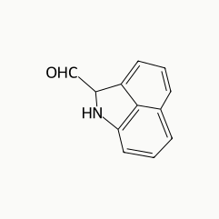 O=CC1Nc2cccc3cccc1c23